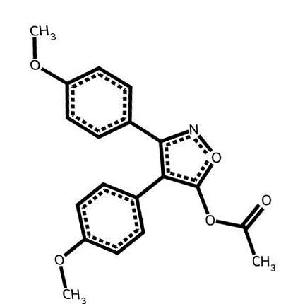 COc1ccc(-c2noc(OC(C)=O)c2-c2ccc(OC)cc2)cc1